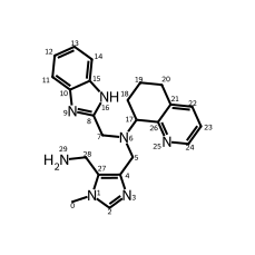 Cn1cnc(CN(Cc2nc3ccccc3[nH]2)C2CCCc3cccnc32)c1CN